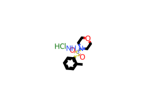 Cc1ccccc1S(=O)(=O)N1CCOCC1.Cl.N